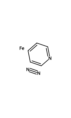 N#N.[Fe].c1ccncc1